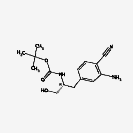 CC(C)(C)OC(=O)N[C@@H](CO)Cc1ccc(C#N)c(N)c1